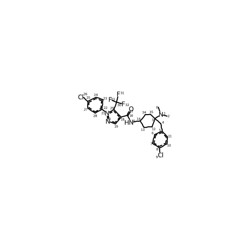 CN(C)C1(Cc2ccc(Cl)cc2)CCC(NC(=O)c2cnn(-c3ccc(Cl)cc3)c2C(F)(F)F)CC1